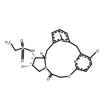 CCS(=O)(=O)N[C@H]1[C@@H](F)CN2C(=O)COc3ccc(Cl)c(n3)Cc3cccc(c3F)C[C@@H]12